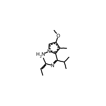 C/C=C(C)\N=C(/c1c(C)c(OC)cn1N)C(C)C